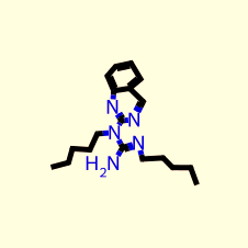 CCCCCN=C(N)N(CCCCC)c1ncc2ccccc2n1